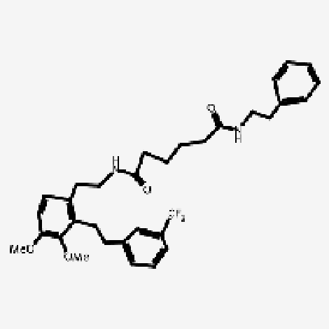 COc1ccc(CCNC(=O)CCCCC(=O)NCCc2ccccc2)c(CCc2cccc(C(F)(F)F)c2)c1OC